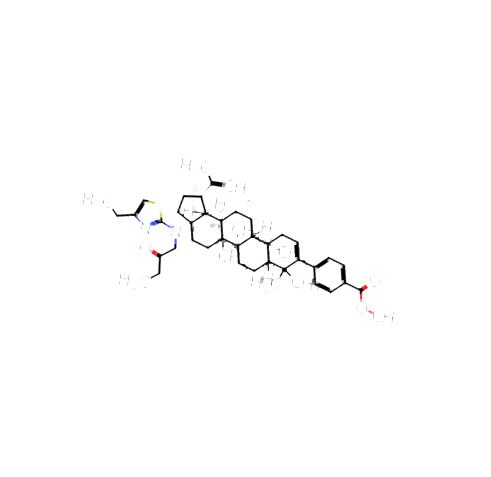 C=C(C)[C@@H]1CC[C@]2(N(CC(=O)CC)c3nc(CC)cs3)CC[C@]3(C)[C@H](CC[C@@H]4[C@@]5(C)CC=C(c6ccc(C(=O)OC)cc6)C(C)(C)[C@@H]5CC[C@]43C)[C@@H]12